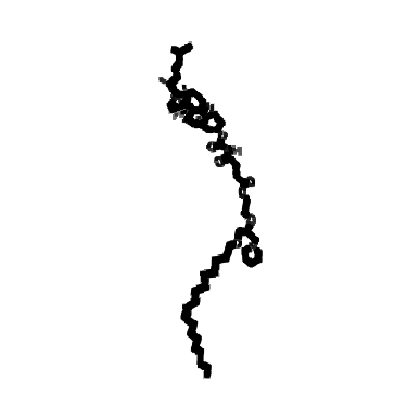 CCCCCCCC/C=C\CCCCCCCCOCC(CN1CCCCC1)OCCOC(=O)CCC(=O)NC(=O)O[C@H]1CC[C@@]2(C)C(=CC[C@H]3[C@@H]4CC[C@H]([C@H](C)CCCC(C)C)[C@@]4(C)CC[C@@H]32)C1